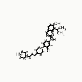 CC(C)c1c(O)ccc2cnc(Nc3ccc(N4CCC(CCCN5CCNCC5)CC4)c(Cl)c3)nc12